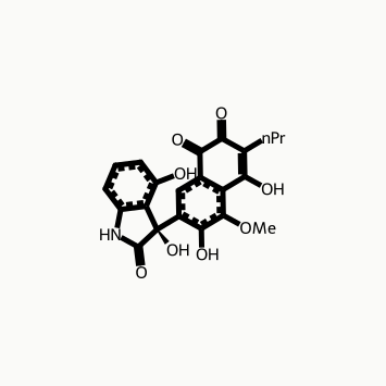 CCCC1=C(O)c2c(cc([C@]3(O)C(=O)Nc4cccc(O)c43)c(O)c2OC)C(=O)C1=O